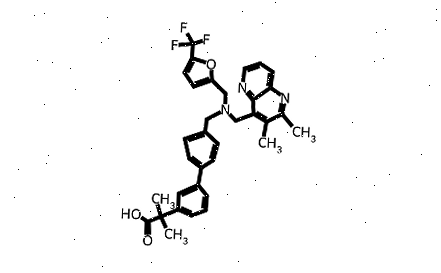 Cc1nc2cccnc2c(CN(Cc2ccc(-c3cccc(C(C)(C)C(=O)O)c3)cc2)Cc2ccc(C(F)(F)F)o2)c1C